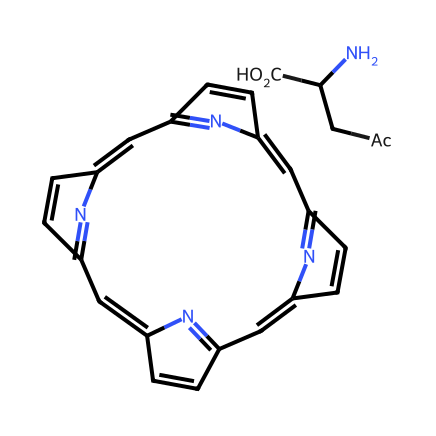 C1=CC2=NC1=CC1=NC(=CC3=NC(=CC4=NC(=C2)C=C4)C=C3)C=C1.CC(=O)CC(N)C(=O)O